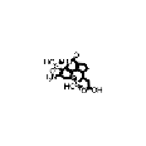 Nc1ccc2c3c(c(=O)oc2c1S(=O)(=O)O)CCC3C(CC(=O)O)S(=O)(=O)O